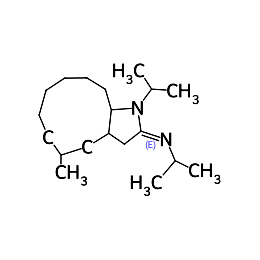 CC1CCCCCCC2C(C/C(=N\C(C)C)N2C(C)C)C1